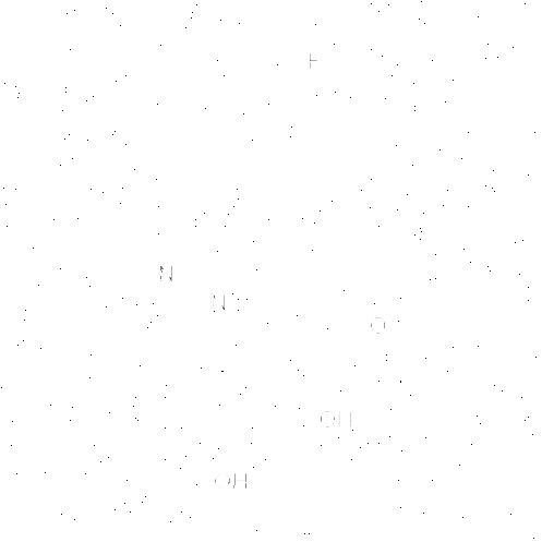 [N-]=[N+]=C(C(=O)c1ccc(F)cc1)C(O)CO